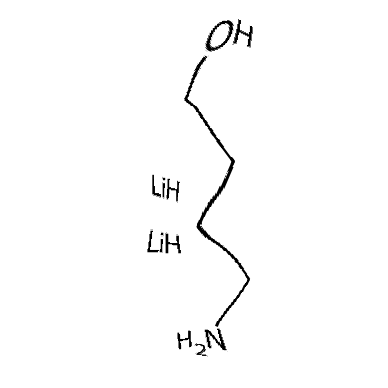 NCCCCO.[LiH].[LiH]